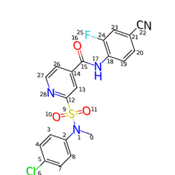 CN(c1ccc(Cl)cc1)S(=O)(=O)c1cc(C(=O)Nc2ccc(C#N)cc2F)ccn1